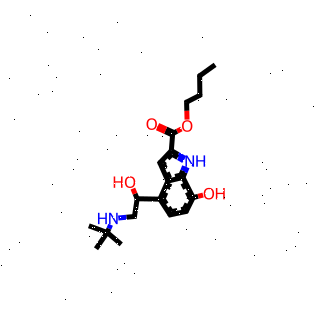 CCCCOC(=O)c1cc2c(C(O)CNC(C)(C)C)ccc(O)c2[nH]1